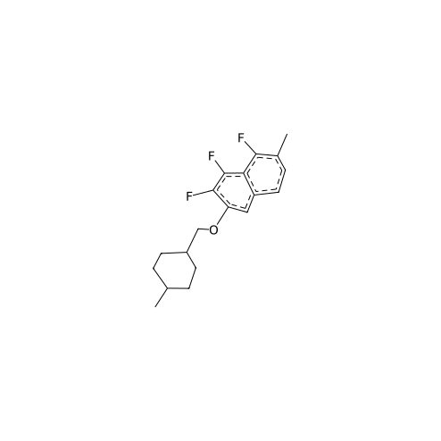 Cc1ccc2cc(OCC3CCC(C)CC3)c(F)c(F)c2c1F